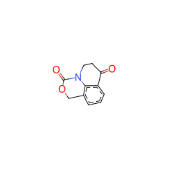 O=C1CCN2C(=O)OCc3cccc1c32